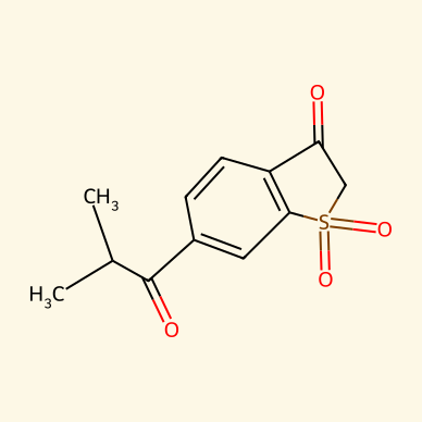 CC(C)C(=O)c1ccc2c(c1)S(=O)(=O)CC2=O